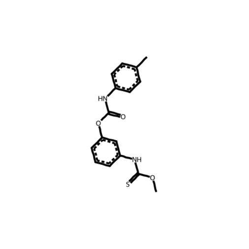 COC(=S)Nc1cccc(OC(=O)Nc2ccc(C)cc2)c1